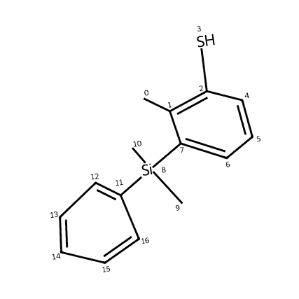 Cc1c(S)cccc1[Si](C)(C)c1ccccc1